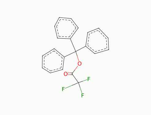 O=C(OC(c1ccccc1)(c1ccccc1)c1ccccc1)C(F)(F)F